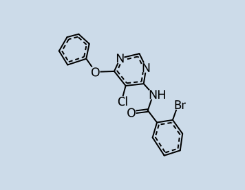 O=C(Nc1ncnc(Oc2ccccc2)c1Cl)c1ccccc1Br